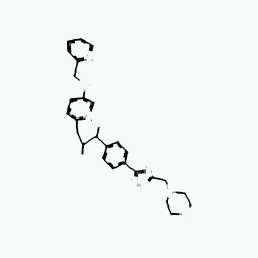 CC(Cc1ccc(OCc2ccccn2)cn1)C(C)c1ccc(-c2noc(CN3CCOCC3)n2)cc1